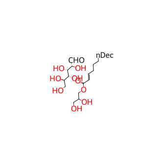 CCCCCCCCCCCCCC=CC(=O)OCC(O)CO.O=C[C@H](O)[C@@H](O)[C@H](O)[C@H](O)CO